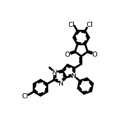 Cn1c(-c2ccc(Cl)cc2)nc2c1cc(C=C1C(=O)c3cc(Cl)c(Cl)cc3C1=O)n2-c1ccccc1